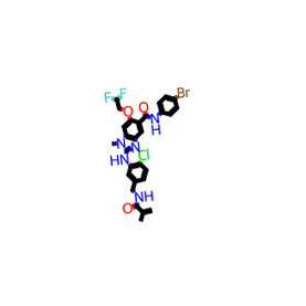 C=C(C)C(=O)NCc1ccc(Cl)c(Nc2nc3cc(C(=O)Nc4ccc(Br)cc4)c(OCC(F)F)cc3n2C)c1